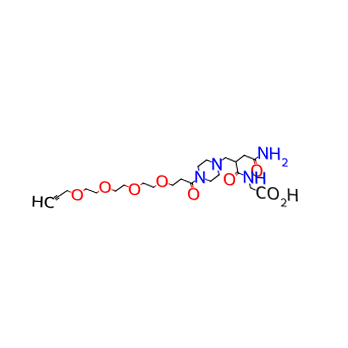 C#CCOCCOCCOCCOCCC(=O)N1CCN(CC(CC(N)=O)C(=O)NCC(=O)O)CC1